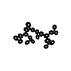 c1ccc(-n2c3ccccc3c3cc(-c4cc(-c5ccc6c7ccc(-c8ccc(-n9c%10ccccc%10c%10ccc(-c%11cc(-c%12ccc%13c%14ccccc%14c%14ccccc%14c%13c%12)cc(-c%12ccc%13c%14ccccc%14n(-c%14ccccc%14)c%13c%12)c%11)cc%109)cc8)cc7c7ccccc7c6c5)cc(-c5ccc6c(c5)c5ccccc5n6-c5ccccc5)c4)ccc32)cc1